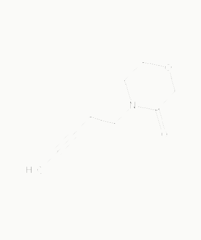 CC#CCCN1CCOCC1=O